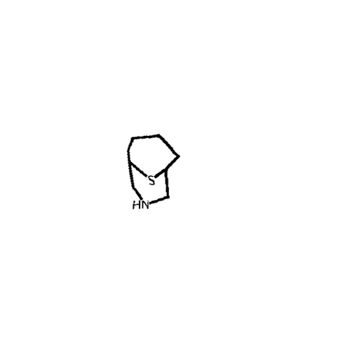 C1CC2CNCC(C1)S2